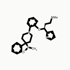 CNCC[C@H](Oc1ccccc1N1CCC(c2ccccc2)(N(C)C)CC1)c1cccs1